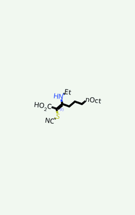 CCCCCCCCCCC/C(NCC)=C(\SC#N)C(=O)O